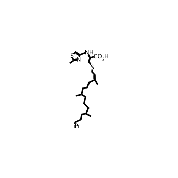 CC(=CCSCC(Nc1csc(C)n1)C(=O)O)CCCC(C)CCCC(C)CCCC(C)C